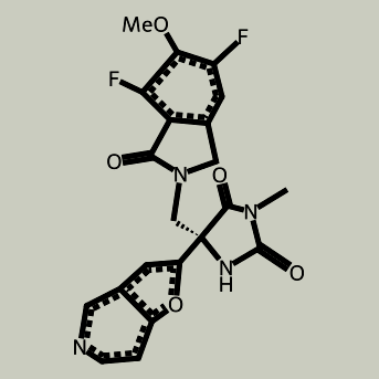 COc1c(F)cc2c(c1F)C(=O)N(C[C@@]1(c3cc4cnccc4o3)NC(=O)N(C)C1=O)C2